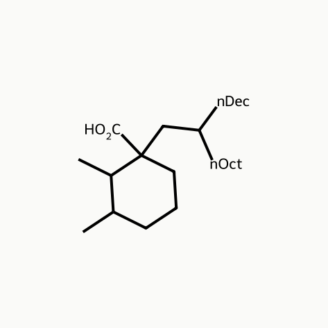 CCCCCCCCCCC(CCCCCCCC)CC1(C(=O)O)CCCC(C)C1C